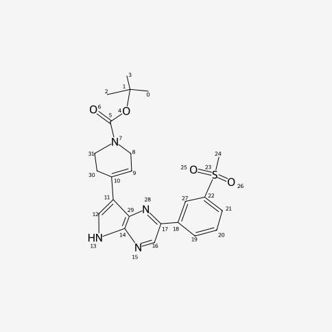 CC(C)(C)OC(=O)N1CC=C(c2c[nH]c3ncc(-c4cccc(S(C)(=O)=O)c4)nc23)CC1